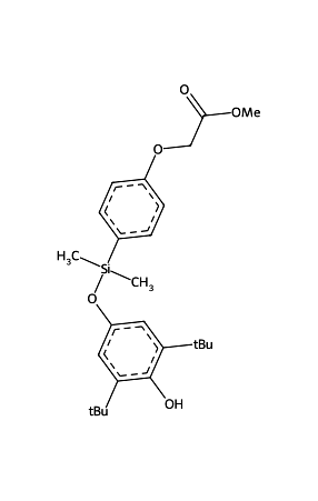 COC(=O)COc1ccc([Si](C)(C)Oc2cc(C(C)(C)C)c(O)c(C(C)(C)C)c2)cc1